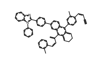 C#C/C=C\c1ccc(-c2c3c(c(C(=C)/C=C\c4ccccc4C)c4cc(-c5ccc(-c6nc7ccccc7n6-c6ccccc6)cc5)ccc24)=CCCC=3)cc1C